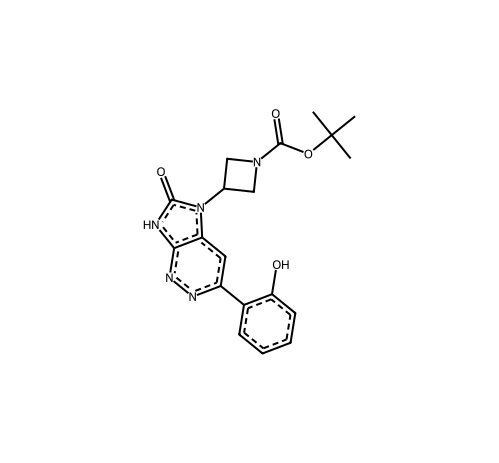 CC(C)(C)OC(=O)N1CC(n2c(=O)[nH]c3nnc(-c4ccccc4O)cc32)C1